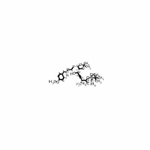 COc1ccc(CPOCC[C@@H]2OC(C)(C)O[C@@H]2C(O)C#C[C@@H](C)C(C)O[Si](C)(C)C(C)(C)C)cc1